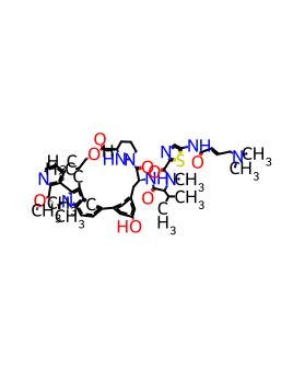 CCn1c(-c2cccnc2[C@H](C)OC)c2c3cc(ccc31)-c1cc(O)cc(c1)C[C@H](NC(=O)C(C(C)C)N(C)C(=O)c1ncc(NC(=O)/C=C/CN(C)C)s1)C(=O)N1CCC[C@H](N1)C(=O)OCC(C)(C)C2